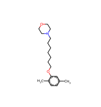 Cc1ccc(C)c(OCCCCCCCN2CCOCC2)c1